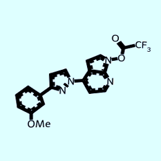 COc1cccc(-c2ccn(-c3ccnc4c3ccn4OC(=O)C(F)(F)F)n2)c1